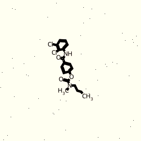 CCCCN(C)C(=O)Oc1ccc(C(=O)Nc2cccc(Cl)c2Cl)cc1